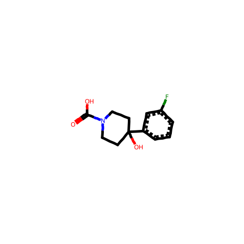 O=C(O)N1CCC(O)(c2cccc(F)c2)CC1